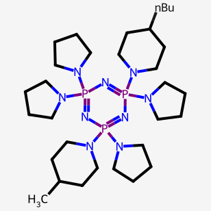 CCCCC1CCN(P2(N3CCCC3)=NP(N3CCCC3)(N3CCCC3)=NP(N3CCCC3)(N3CCC(C)CC3)=N2)CC1